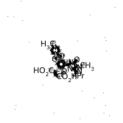 CCCc1nn(C)c2c(=O)[nH]c(-c3cc(S(=O)(=O)N4CCN(C)CC4)ccc3OCC)nc12.O=C(O)C=CC(=O)O